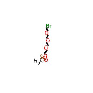 CS(=O)(=S)OCCOCCOCCOCCBr